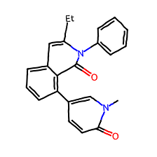 CCc1cc2cccc(-c3ccc(=O)n(C)c3)c2c(=O)n1-c1ccccc1